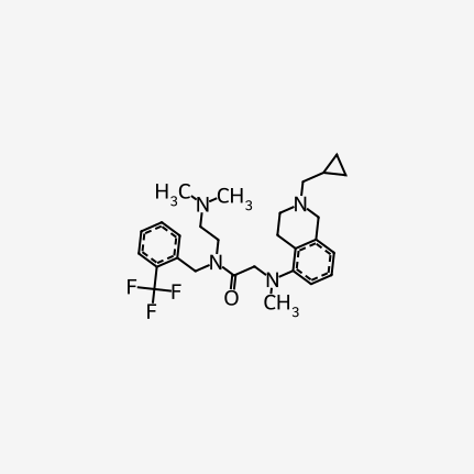 CN(C)CCN(Cc1ccccc1C(F)(F)F)C(=O)CN(C)c1cccc2c1CCN(CC1CC1)C2